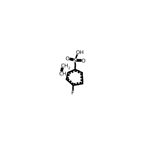 C=C.O=S(=O)(O)c1ccc(F)cc1